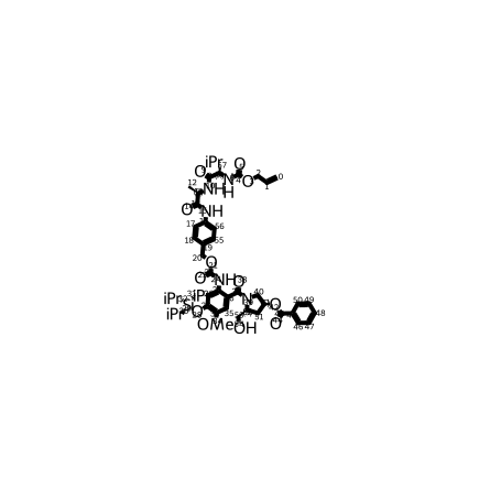 C=CCOC(=O)N[C@@H](C(=O)N[C@H](C)C(=O)Nc1ccc(COC(=O)Nc2cc(O[Si](C(C)C)(C(C)C)C(C)C)c(OC)cc2C(=O)N2C[C@@H](OC(=O)c3ccccc3)C[C@H]2CO)cc1)C(C)C